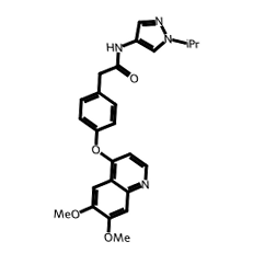 COc1cc2nccc(Oc3ccc(CC(=O)Nc4cnn(C(C)C)c4)cc3)c2cc1OC